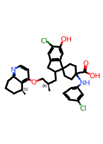 C[C@@H](COc1ccnc2c1[C@@H](C)CCC2)CC1Cc2cc(Cl)c(O)cc2C12CCC(Nc1cccc(Cl)c1)(C(=O)O)CC2